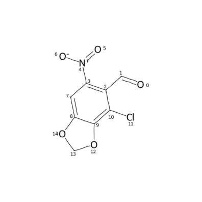 O=Cc1c([N+](=O)[O-])cc2c(c1Cl)OCO2